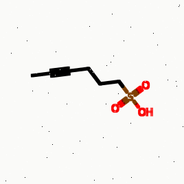 CC#CCCCS(=O)(=O)O